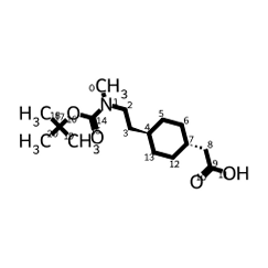 CN(CC[C@H]1CC[C@H](CC(=O)O)CC1)C(=O)OC(C)(C)C